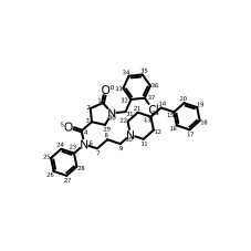 O=C1CC(C(=O)N(CCCN2CCC(Cc3ccccc3)CC2)c2ccccc2)CN1Cc1ccccc1Cl